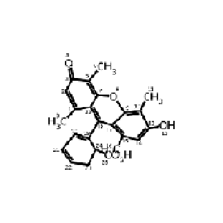 Cc1cc(=O)c(C)c2oc3c(C)c(O)cc(C)c3c(C3=CC=CCC3C(=O)O)c1-2